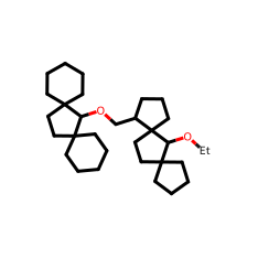 CCOC1C2(CCCC2)CCC12CCCC2COC1C2(CCCCC2)CCC12CCCCC2